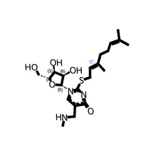 CNCc1cn([C@@H]2O[C@H](CO)[C@@H](O)[C@H]2O)c(SC/C=C(\C)CCC=C(C)C)nc1=O